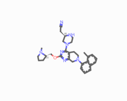 Cc1cccc2cccc(N3CCc4c(nc(OC[C@@H]5CCCN5C)nc4N4CCN[C@H](CC#N)C4)C3)c12